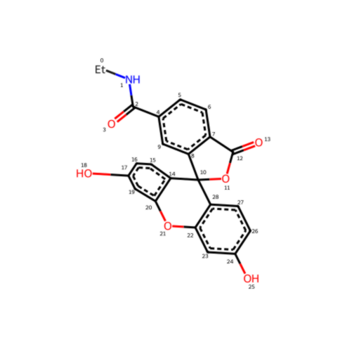 CCNC(=O)c1ccc2c(c1)C1(OC2=O)c2ccc(O)cc2Oc2cc(O)ccc21